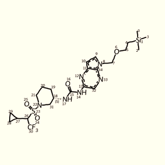 C[Si](C)(C)CCOCn1ccc2nc(NC(=O)N[C@H]3CCCN(S(=O)(=O)C(C4CC4)C(F)(F)F)C3)cnc21